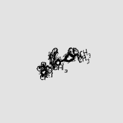 CN(C)C(=O)c1ccc(-c2ccc(C(CN3CCOCC3)N(C)C(=O)CN3C(=O)COc4cc(Cl)c(Cl)cc43)cc2)cc1Cl